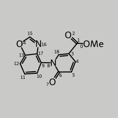 COC(=O)c1ccc(=O)n(-c2cccc3ocnc23)c1